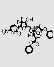 C[C@H](NP(=O)(N[C@@H](C)C(=O)OC1CCCCC1)OC[C@H]1O[C@@H](n2ccc(N)nc2=O)C(F)(F)C1O)C(=O)OC1CCCCC1